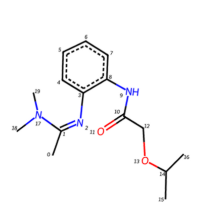 CC(=Nc1ccccc1NC(=O)COC(C)C)N(C)C